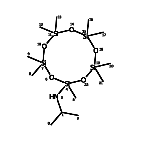 CC(C)N[Si]1(C)O[Si](C)(C)O[Si](C)(C)O[Si](C)(C)O[Si](C)(C)O1